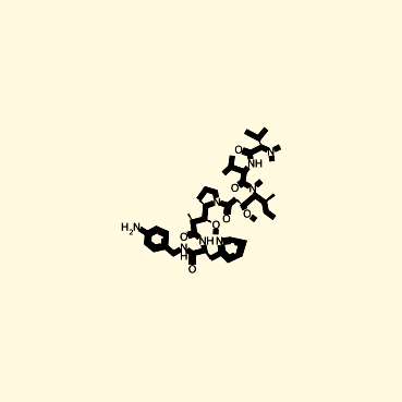 CC[C@H](C)[C@@H]([C@@H](CC(=O)N1CCC[C@H]1[C@H](OC)[C@@H](C)C(=O)N[C@@H](Cc1ccccn1)C(=O)NCc1ccc(N)cc1)OC)N(C)C(=O)C(NC(=O)[C@H](C(C)C)N(C)C)C(C)C